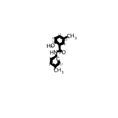 Cc1ccc(NC(=O)c2cc(C)ccc2O)cc1